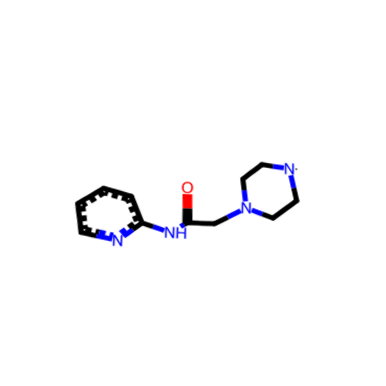 O=C(CN1CC[N]CC1)Nc1ccccn1